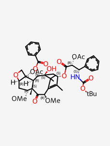 CO[C@H]1C(=O)[C@@]2(C)[C@H]([C@H](OC(=O)c3ccccc3)[C@]3(O)C[C@H](OC(=O)[C@H](OC(C)=O)[C@@H](NC(=O)OC(C)(C)C)c4ccccc4)C(C)=C1C3(C)C)[C@]1(OC(C)=O)CO[C@@H]1C[C@H]2OC